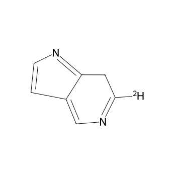 [2H]C1=NC=C2C=CN=C2C1